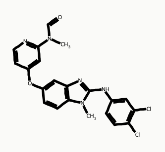 CN(C=O)c1cc(Oc2ccc3c(c2)nc(Nc2ccc(Cl)c(Cl)c2)n3C)ccn1